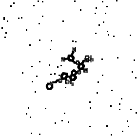 CNCc1cc(Cl)c(O[C@H]2CCc3c(-c4cccc(OCCCN5CCCCC5)c4C)cccc32)cc1OCc1cc(C#N)cc(C#N)c1